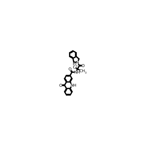 CC(C)(NC(=O)c1ccc2c(=O)c3ccccc3[nH]c2c1)C(=O)N1Cc2ccccc2C1